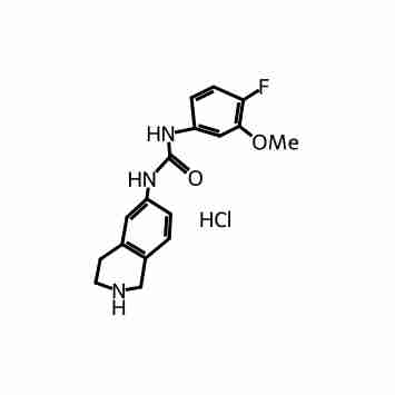 COc1cc(NC(=O)Nc2ccc3c(c2)CCNC3)ccc1F.Cl